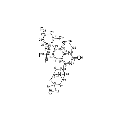 O=c1nc(N2CC3CC4(COC4)CC(C2)N3)c2cc(C(F)(F)F)c(-c3ccc(F)cc3F)c3c2n1CCS3